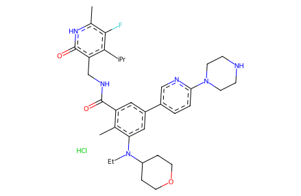 CCN(c1cc(-c2ccc(N3CCNCC3)nc2)cc(C(=O)NCc2c(C(C)C)c(F)c(C)[nH]c2=O)c1C)C1CCOCC1.Cl